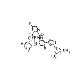 C[C@@H]1CN(c2nccc(-c3cc(NC(=O)c4ncc(F)cc4C(F)F)c(N4C[C@@H](C)N(C)[C@@H](C)C4)cc3F)n2)C[C@H](C)O1